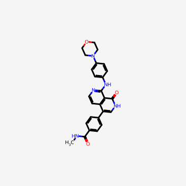 CNC(=O)c1ccc(-c2c[nH]c(=O)c3c(Nc4ccc(N5CCOCC5)cc4)nccc23)cc1